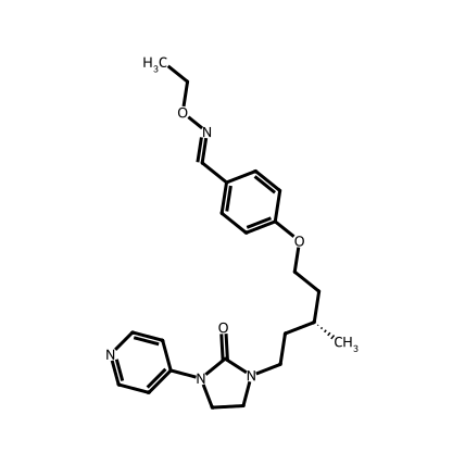 CCO/N=C/c1ccc(OCC[C@H](C)CCN2CCN(c3ccncc3)C2=O)cc1